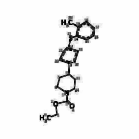 CCOC(=O)N1CCC(c2ccc(Sc3ccccc3C)cc2)CC1